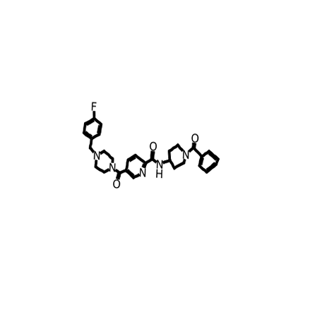 O=C(NC1CCN(C(=O)c2ccccc2)CC1)c1ccc(C(=O)N2CCN(Cc3ccc(F)cc3)CC2)cn1